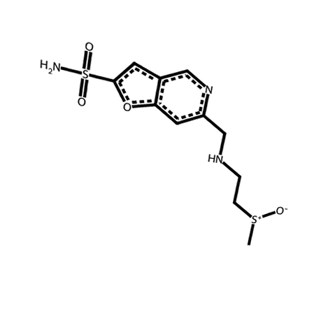 C[S+]([O-])CCNCc1cc2oc(S(N)(=O)=O)cc2cn1